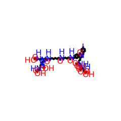 O=C(O)CC[C@@H](NC(=O)N[C@H](CCCCN(Cc1ccc(I)cc1)C(=O)c1ccc(CNC(=O)CCCCNC(=O)CCCCCCNC(=O)CN(CCNCC(=O)O)CCN(CCNCC(=O)O)CC(=O)O)cc1)C(=O)O)C(=O)O